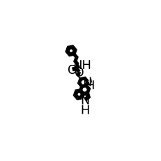 CN1C[C@H](COC(=O)NCCc2ccccc2)CC2c3cccc4[nH]cc(c34)C[C@H]21